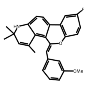 COc1cccc(C=C2Oc3ccc(F)cc3-c3ccc4c(c32)C(C)=CC(C)(C)N4)c1